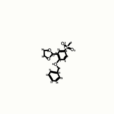 CS(=O)(=O)c1ccc(OCc2ccccc2)c(C2OCCO2)c1